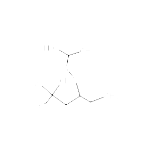 CCC(CC(Cl)(Cl)Cl)SSC(C)C